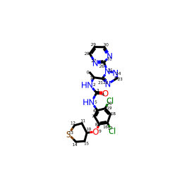 CC(NC(=O)Nc1cc(OC2CCSCC2)c(Cl)cc1Cl)c1ncnn1-c1ncccn1